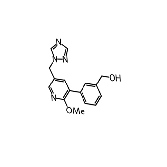 COc1ncc(Cn2cncn2)cc1-c1cccc(CO)c1